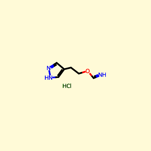 Cl.N=COCCc1cn[nH]c1